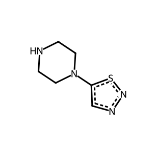 c1nnsc1N1CCNCC1